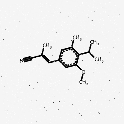 COc1cc(/C=C(\C)C#N)cc(C)c1C(C)C